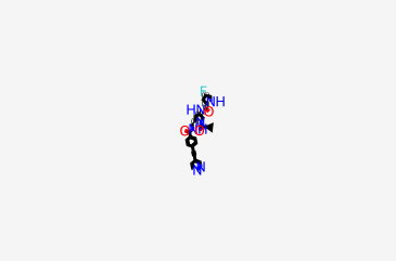 O=C(NC[C@H]1C[C@@H](NC(=O)[C@@H]2C[C@H](F)CN2)CN1C(=O)C1CC1)c1ccc(C#Cc2ccnnc2)cc1